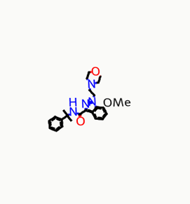 COc1cccc2c(C(=O)NC(C)(C)c3ccccc3)nn(CCN3CCOCC3)c12